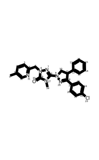 Cc1ccc(Cn2nc(N3CC(c4ccccc4)C(c4ccc(Cl)cc4)=N3)n(C)c2=O)nc1